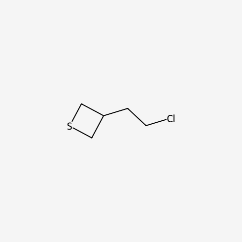 ClCCC1CSC1